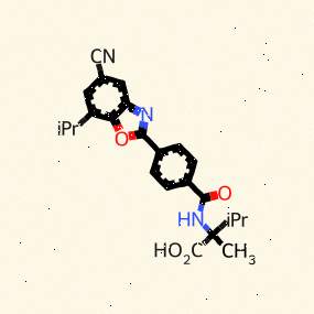 CC(C)c1cc(C#N)cc2nc(-c3ccc(C(=O)NC(C)(C(=O)O)C(C)C)cc3)oc12